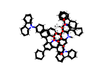 CCN(c1cc(-n2c3ccccc3c3ccccc32)cc2c1B(C(C)[C@@H](C)n1c3ccccc3c3ccccc31)c1ccc(-c3ccc(-n4c5ccccc5c5ccccc54)cc3)cc1N2c1c(-c2ccccc2)cc(-c2ccccc2)cc1-c1ccccc1)c1c(-c2ccccc2)cc(-c2ccccc2)cc1-c1ccccc1